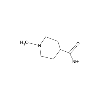 CN1CCC(C([NH])=O)CC1